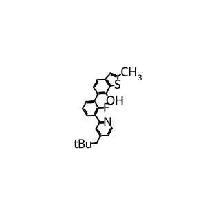 Cc1cc2ccc(-c3cccc(-c4cc(CC(C)(C)C)ccn4)c3F)c(O)c2s1